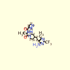 Cc1nc(C(F)(F)F)nc(N)c1CCC1CCN(C(=O)C(C)NC(=O)c2ccn[nH]2)CC1